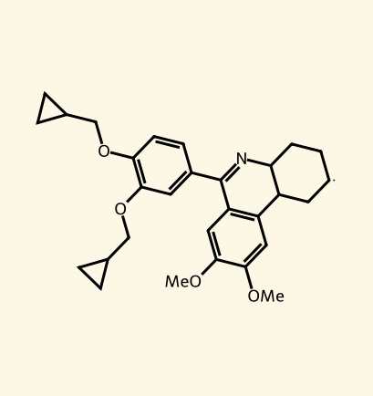 COc1cc2c(cc1OC)C1C[CH]CCC1N=C2c1ccc(OCC2CC2)c(OCC2CC2)c1